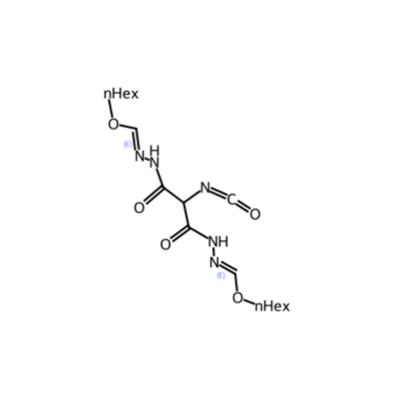 CCCCCCO/C=N/NC(=O)C(N=C=O)C(=O)N/N=C/OCCCCCC